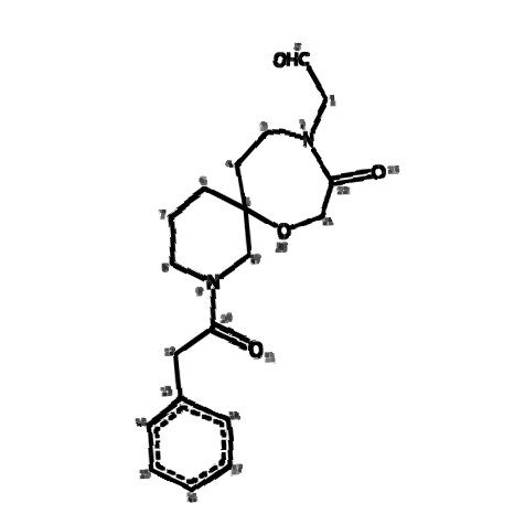 O=CCN1CCC2(CCCN(C(=O)Cc3ccccc3)C2)OCC1=O